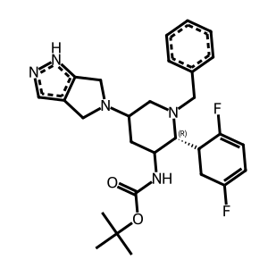 CC(C)(C)OC(=O)NC1CC(N2Cc3cn[nH]c3C2)CN(Cc2ccccc2)[C@@H]1C1CC(F)=CC=C1F